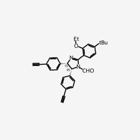 C#Cc1ccc([C@@H]2[C@H](c3ccc(C#C)cc3)N=C(c3ccc(C(C)(C)C)cc3OCC)N2C=O)cc1